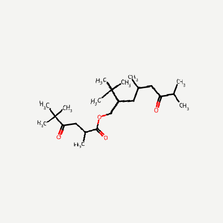 CC(CC(=O)C(C)C)CC(COC(=O)C(C)CC(=O)C(C)(C)C)C(C)(C)C